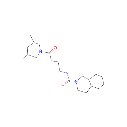 CC1CC(C)CN(C(=O)CCCNC(=O)N2CCC3CCCCC3C2)C1